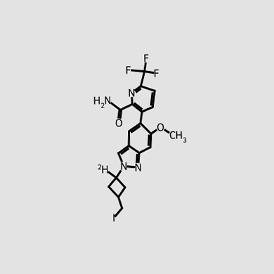 [2H]C1(n2cc3cc(-c4ccc(C(F)(F)F)nc4C(N)=O)c(OC)cc3n2)CC(CI)C1